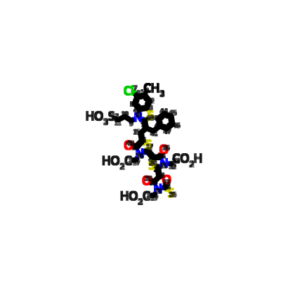 Cc1cc2c(cc1Cl)N(CCCS(=O)(=O)O)/C(=C(\C=c1s/c(=c3/s/c(=C4/OC(=S)N(CC(=O)O)C4=O)n(CC(=O)O)c3=O)n(CC(=O)O)c1=O)Cc1ccccc1)S2